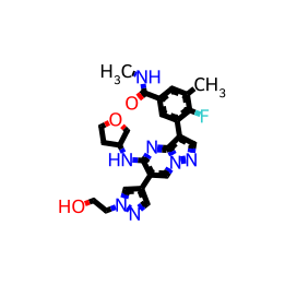 CNC(=O)c1cc(C)c(F)c(-c2cnn3cc(-c4cnn(CCO)c4)c(NC4CCOC4)nc23)c1